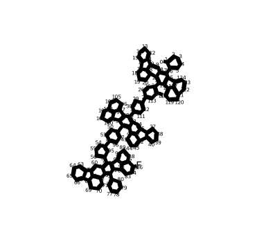 Cc1ccccc1-c1c2cc3c4ccccc4c4cccc(c2c(-c2ccc(-c5ccc(-c6c7cc8c9ccccc9c9cccc(c7c(-c7ccc(-c%10cccc(-c%11c%12cc%13c%14ccccc%14c%14cccc(c%12c(-c%12ccccc%12)c%12c%15ccc(F)c%16cccc(c%11%12)c%16%15)c%14%13)c%10)cc7)c7c%10cccc%11cccc(c67)c%11%10)c98)cc5)cc2C)c2c5cccc6cccc(c12)c65)c43